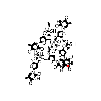 CCOP(=O)(S)O[C@H]1C[C@H](n2cc(C)c(=O)[nH]c2=O)O[C@@H]1COP(=O)(S)O[C@H]1C[C@H](n2cc(C)c(=O)[nH]c2=O)O[C@@H]1COP(=O)(S)O[C@H]1C[C@H](n2cc(C)c(=O)[nH]c2=O)O[C@@H]1COP(=O)(S)O[C@H]1C[C@H](n2cc(C)c(=O)[nH]c2=O)O[C@@H]1COP(=O)(S)O[C@H]1C[C@H](n2cc(C)c(=O)[nH]c2=O)O[C@@H]1C